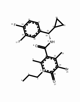 CCCn1c(C)c(C(=O)N[C@H](c2ccc(F)c(F)c2)C2CC2)c(C)c(Br)c1=O